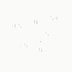 Nc1nc(N)c2c(n1)NCN2